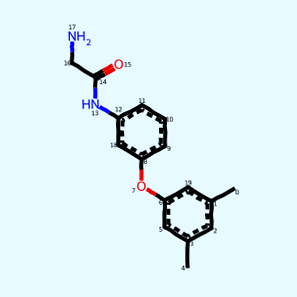 Cc1cc(C)cc(Oc2cccc(NC(=O)CN)c2)c1